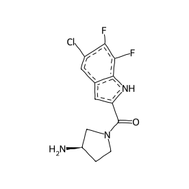 N[C@@H]1CCN(C(=O)c2cc3cc(Cl)c(F)c(F)c3[nH]2)C1